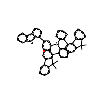 CC1(C)c2ccccc2-c2c(-c3ccccc3N(c3cccc(-c4cccc5c4sc4ccccc45)c3)c3ccccc3-c3cccc4c3C(C)(C)c3ccccc3-4)cccc21